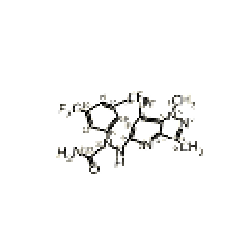 Cc1nn(C)c2c(C(C)C)cc(NN(C(N)=O)c3cc(C(F)(F)F)cc(C(F)(F)F)c3)nc12